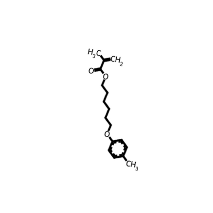 C=C(C)C(=O)OCCCCCCOc1ccc(C)cc1